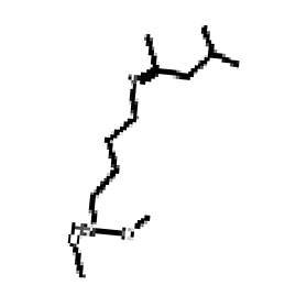 CO[SiH](CCCCN=C(C)CC(C)C)OC